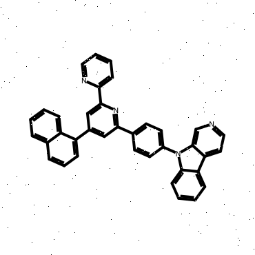 c1ccc(-c2cc(-c3cccc4ccccc34)cc(-c3ccc(-n4c5ccccc5c5ccncc54)cc3)n2)nc1